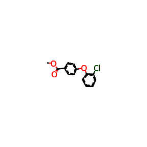 COC(=O)c1ccc(Oc2ccccc2Cl)cc1